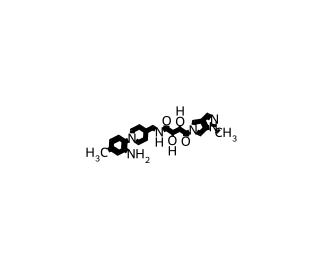 Cc1ccc(N2CCC(CNC(=O)[C@H](O)[C@@H](O)C(=O)N3Cc4cnn(C)c4C3)CC2)c(N)c1